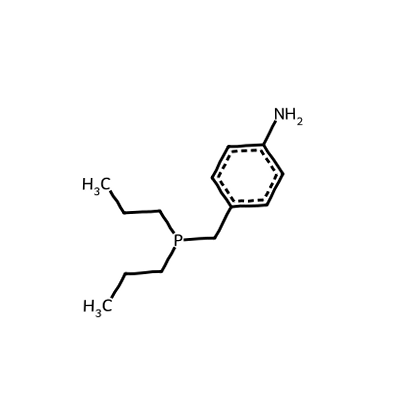 CCCP(CCC)Cc1ccc(N)cc1